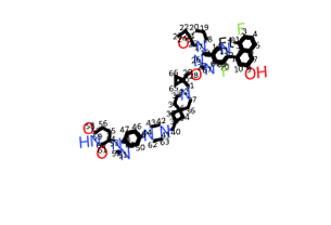 CCc1c(F)ccc2cc(O)cc(-c3ncc4c(N5CCC[C@]6(CCO6)C5)nc(OCC5(CN6CCC7(CC6)CC(CN6CCN(c8ccc9c(c8)ncn9C8CCC(=O)NC8=O)CC6)C7)CC5)nc4c3F)c12